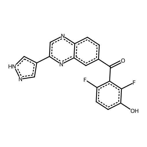 O=C(c1ccc2ncc(-c3cn[nH]c3)nc2c1)c1c(F)ccc(O)c1F